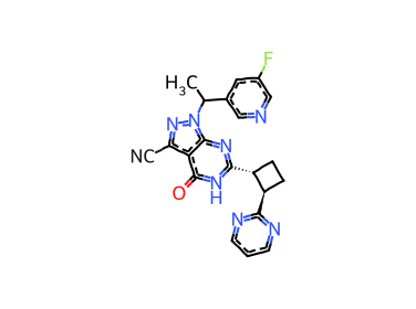 CC(c1cncc(F)c1)n1nc(C#N)c2c(=O)[nH]c([C@@H]3CC[C@H]3c3ncccn3)nc21